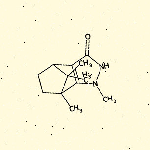 Cn1[nH]c(=O)c2c1C1(C)CCC2C1(C)C